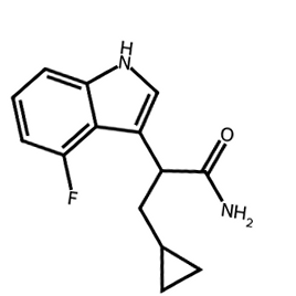 NC(=O)C(CC1CC1)c1c[nH]c2cccc(F)c12